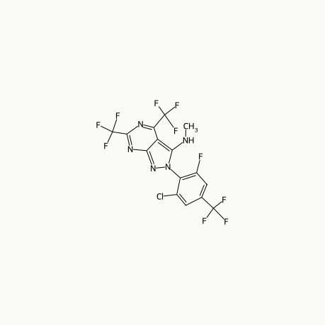 CNc1c2c(C(F)(F)F)nc(C(F)(F)F)nc2nn1-c1c(F)cc(C(F)(F)F)cc1Cl